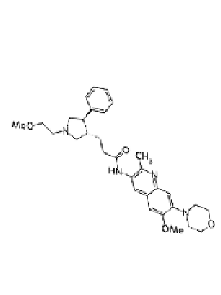 COCCN1C[C@@H](CCC(=O)Nc2cc3cc(OC)c(N4CCOCC4)cc3nc2C)[C@H](c2ccccc2)C1